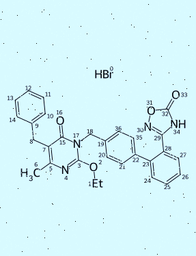 Br.CCOc1nc(C)c(Cc2ccccc2)c(=O)n1Cc1ccc(-c2ccccc2-c2noc(=O)[nH]2)cc1